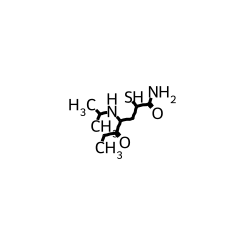 CCC(=O)C(CC(S)C(N)=O)NC(C)C